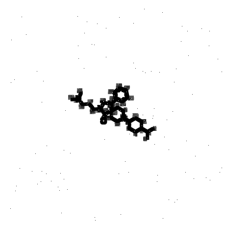 CC(C)C1CCC(N2CCC3(CC2)C(=O)N(CCCN(C)C)CN3c2ccccc2)CC1